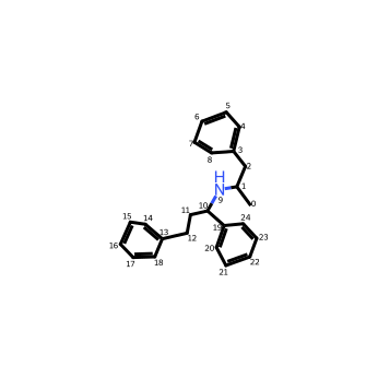 CC(Cc1ccccc1)NC(CCc1ccccc1)c1ccccc1